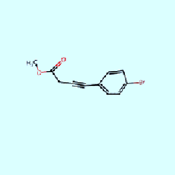 COC(=O)CC#Cc1ccc(Br)cc1